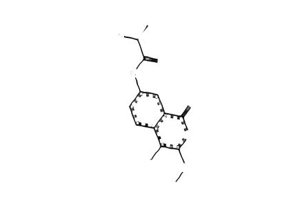 COc1oc(=O)c2cc(NC(=O)[C@H](C)N)ccc2c1Cl